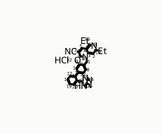 CCc1cc2c(cc(C#N)c(=O)n2Cc2ccc(-c3ccccc3-c3nnn[nH]3)cc2)c(CC)n1.Cl